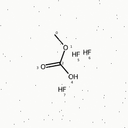 COC(=O)O.F.F.F